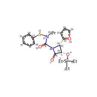 CC[Si](CC)(CC)O[C@@H]1C(=O)N(C(=O)N(Sc2ccccc2)C(C)C)[C@@H]1c1ccco1